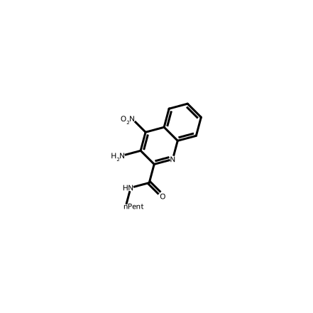 CCCCCNC(=O)c1nc2ccccc2c([N+](=O)[O-])c1N